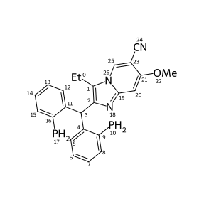 CCc1c(C(c2ccccc2P)c2ccccc2P)nc2cc(OC)c(C#N)cn12